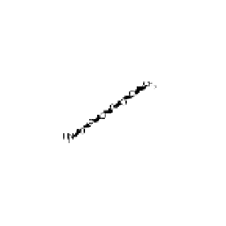 CCCCOCCOCCOCCOCCOCCOCCNI